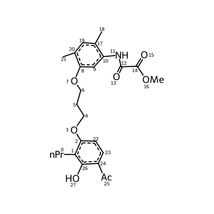 CCCc1c(OCCCOc2cc(NC(=O)C(=O)OC)c(C)cc2C)ccc(C(C)=O)c1O